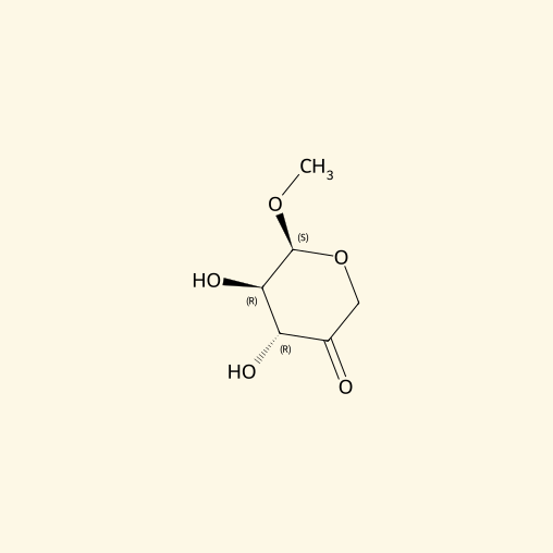 CO[C@H]1OCC(=O)[C@H](O)[C@H]1O